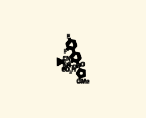 CO[C@@H]1CC[C@@H](S(=O)(=O)c2ccc(-c3ccc(F)cc3F)cc2C(F)(F)F)C1.N#CC1(NC(=O)O)CC1